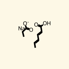 CC=CC=CC(=O)O.CCC(=O)[O-].[Na+]